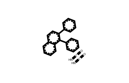 N=C=O.N=C=O.c1ccc(-c2ccc3ccccc3c2-c2ccccc2)cc1